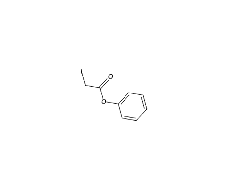 O=C(CI)Oc1ccccc1